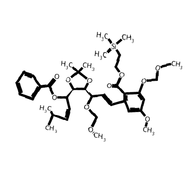 COCOc1cc(OC)cc(/C=C/C(OCOC)[C@@H]2OC(C)(C)O[C@@H]2C(/C=C\C(C)C)OC(=O)c2ccccc2)c1C(=O)OCC[Si](C)(C)C